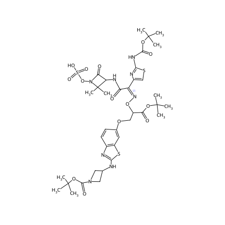 CC(C)(C)OC(=O)Nc1nc(/C(=N/OC(COc2ccc3nc(NC4CN(C(=O)OC(C)(C)C)C4)sc3c2)C(=O)OC(C)(C)C)C(=O)NC2C(=O)N(OS(=O)(=O)O)C2(C)C)cs1